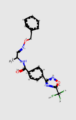 CC(C=NOCc1ccccc1)NC(=O)c1ccc(-c2noc(C(F)(F)F)n2)cc1